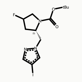 CC(C)(C)OC(=O)N1CC(F)C[C@H]1Cn1cc(I)cn1